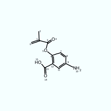 C=C(C)C(=O)Oc1ccc(N)cc1C(=O)O